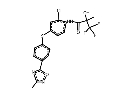 Cc1noc(-c2ccc(Sc3ccc(NC(=O)C(C)(O)C(F)(F)F)c(Cl)c3)cc2)n1